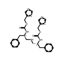 O=C(N[C@@H](CNC[C@@H](Cc1ccccc1)NC(=O)OCc1cncs1)Cc1ccccc1)OCc1cncs1